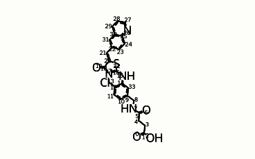 O=C(O)CCC(=O)NCc1ccc(Cl)c(NC2=NC(=O)/C(=C/c3ccc4ncccc4c3)S2)c1